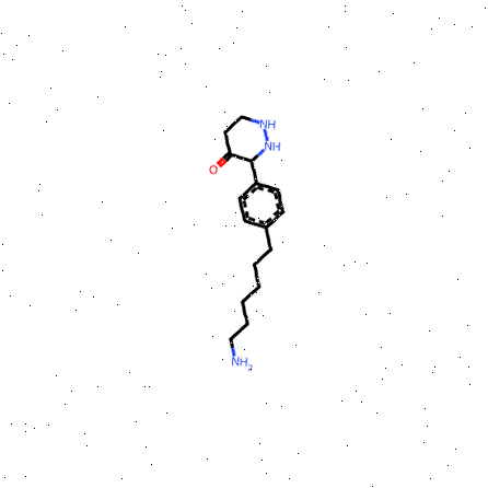 NCCCCCCc1ccc(C2NNCCC2=O)cc1